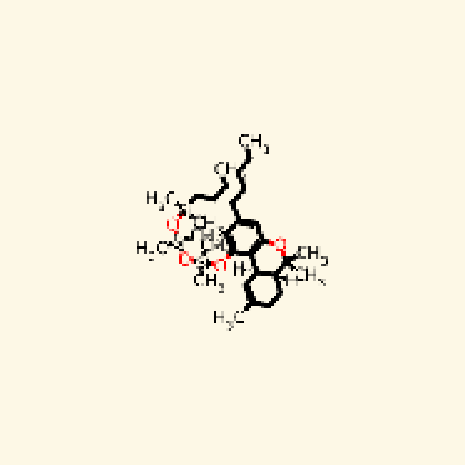 CCCCCc1cc2c(c(O[Si](C)(C)O[Si](C)(C)O[Si](C)(C)CCCC)c1)[C@@H]1C=C(C)CC[C@H]1C(C)(C)O2